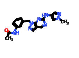 CC(=O)Nc1cccc(Cn2ncc3cnc(Nc4cnn(C)c4)nc32)c1